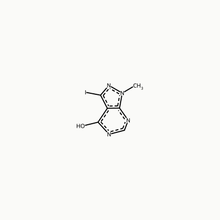 Cn1nc(I)c2c(O)ncnc21